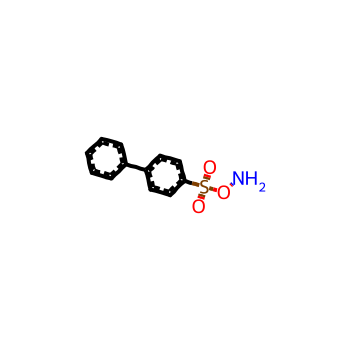 NOS(=O)(=O)c1ccc(-c2ccccc2)cc1